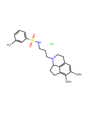 COc1cc2c3c(c1OC)CCC3N(CCCNS(=O)(=O)c1cccc(C)c1)CC2.Cl